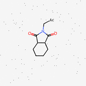 CC(=O)CN1C(=O)C2CCCCC2C1=O